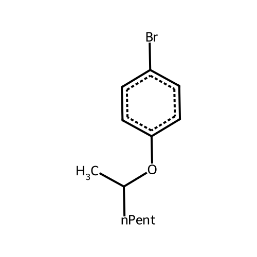 CCCCCC(C)Oc1ccc(Br)cc1